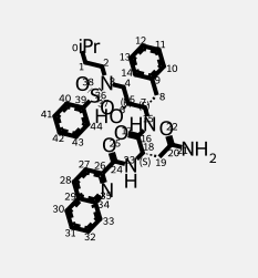 CC(C)CCN(C[C@@H](O)[C@H](Cc1ccccc1)NC(=O)[C@H](CC(N)=O)NC(=O)c1ccc2ccccc2n1)S(=O)(=O)c1ccccc1